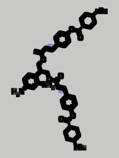 C=C(/C=C/c1ccc(OC(=O)[C@H]2CC[C@H](CCCC)CC2)cc1)OCC(COC(=O)/C=C/c1ccc(OC(=O)[C@H]2CC[C@H](CCCC)CC2)cc1)c1ccc(N)cc1N